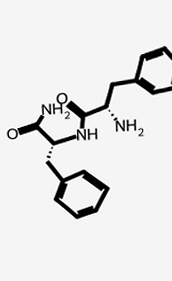 NC(=O)[C@@H](Cc1ccccc1)NC(=O)[C@@H](N)Cc1ccccc1